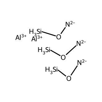 [Al+3].[Al+3].[N-2]O[SiH3].[N-2]O[SiH3].[N-2]O[SiH3]